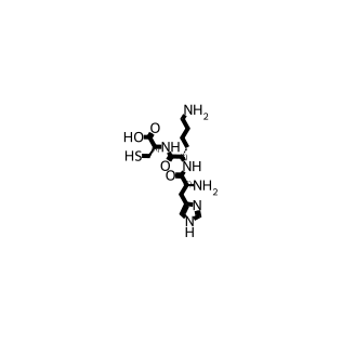 NCCCC[C@H](NC(=O)[C@@H](N)Cc1c[nH]cn1)C(=O)N[C@@H](CS)C(=O)O